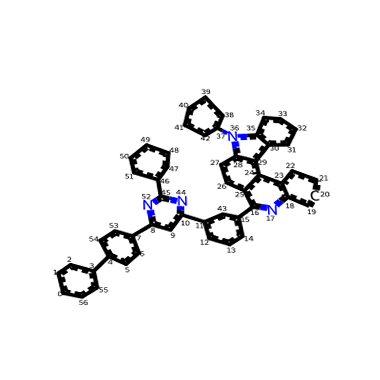 c1ccc(-c2ccc(-c3cc(-c4cccc(-c5nc6ccccc6c6c5ccc5c6c6ccccc6n5-c5ccccc5)c4)nc(-c4ccccc4)n3)cc2)cc1